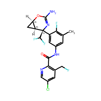 Cc1cc(NC(=O)c2ncc(Cl)cc2CF)cc([C@@]2(C(F)F)N=C(N)O[C@@H]3C[C@@H]32)c1F